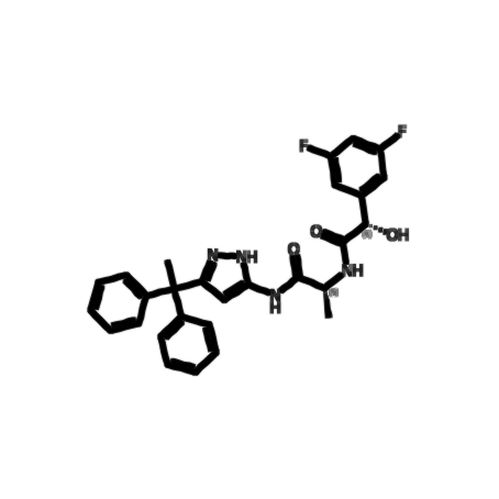 C[C@H](NC(=O)[C@@H](O)c1cc(F)cc(F)c1)C(=O)Nc1cc(C(C)(c2ccccc2)c2ccccc2)n[nH]1